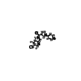 Cc1nc2c(c(C)c1Cl)CN(C(=O)C1CCN(c3ccncc3)C1)C2